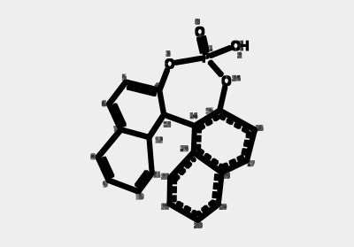 O=P1(O)OC2=CC=C3C=CC=CC3C2c2c(ccc3ccccc23)O1